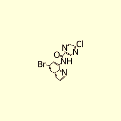 O=C(Nc1cc(Br)cc2cccnc12)c1cnc(Cl)cn1